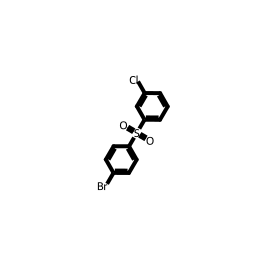 O=S(=O)(c1ccc(Br)cc1)c1cccc(Cl)c1